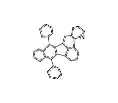 c1ccc(-c2c3c(c(-c4ccccc4)c4ccccc24)-c2cc4cccnc4c4cccc-3c24)cc1